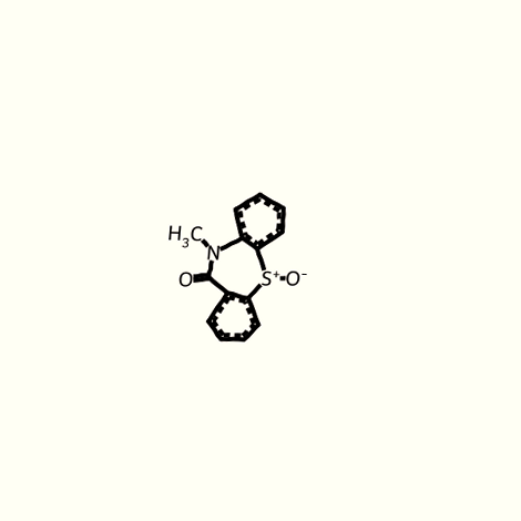 CN1C(=O)c2ccccc2[S+]([O-])c2ccccc21